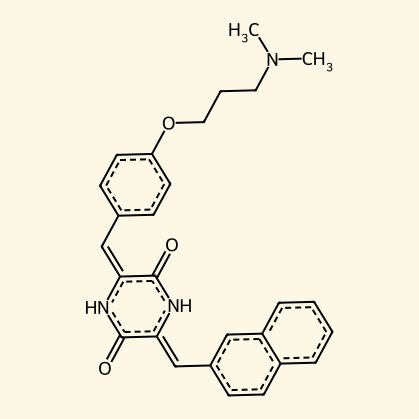 CN(C)CCCOc1ccc(C=c2[nH]c(=O)c(=Cc3ccc4ccccc4c3)[nH]c2=O)cc1